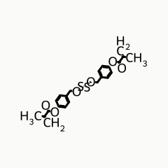 C=C(C)C(=O)Oc1ccc(COSSOCc2ccc(OC(=O)C(=C)C)cc2)cc1